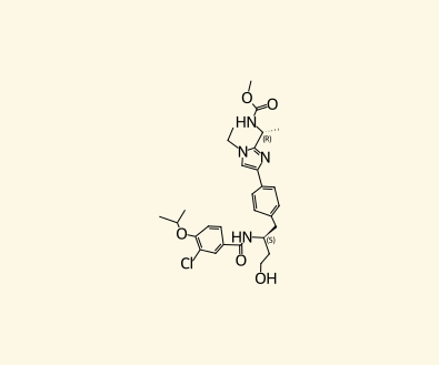 CCn1cc(-c2ccc(C[C@@H](CCO)NC(=O)c3ccc(OC(C)C)c(Cl)c3)cc2)nc1[C@@H](C)NC(=O)OC